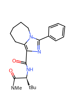 CNC(=O)[C@@H](NC(=O)c1nc(-c2ccccc2)n2c1CCCCC2)C(C)(C)C